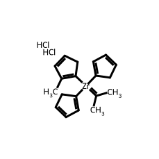 CC1=[C]([Zr]([C]2=CC=CC2)([C]2=CC=CC2)=[C](C)C)CC=C1.Cl.Cl